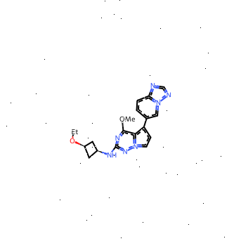 CCO[C@H]1C[C@@H](Nc2nc(OC)c3c(-c4ccc5ncnn5c4)ccn3n2)C1